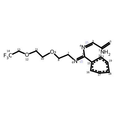 C=C(N)/C=N\C(=N/CCOCCOCC(F)(F)F)c1ccccc1